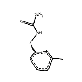 Cc1cccc(SNC(N)=O)n1